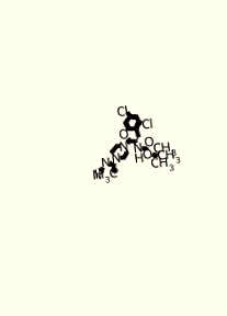 CSC(=NC#N)N1CCN(C(=O)[C@H](Cc2ccc(Cl)cc2Cl)NC(=O)OC(C)(C)C)CC1